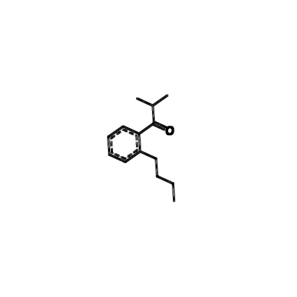 CCCCc1ccccc1C(=O)C(C)C